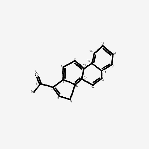 CC(=O)C1=CCc2c1ccc1c2ccc2ccccc21